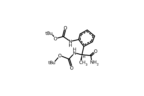 CC(C)(C)OC(=O)Nc1ccccc1[C@@](C)(NC(=O)OC(C)(C)C)C(N)=O